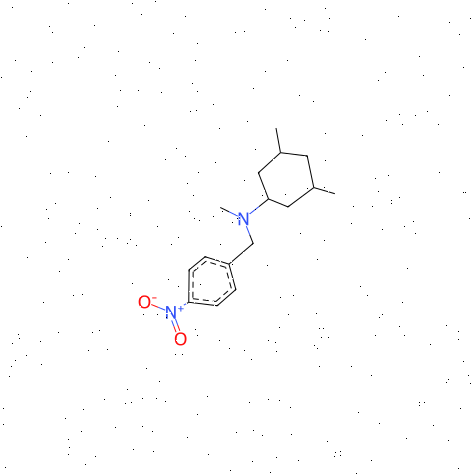 CC1CC(C)CC(N(C)Cc2ccc([N+](=O)[O-])cc2)C1